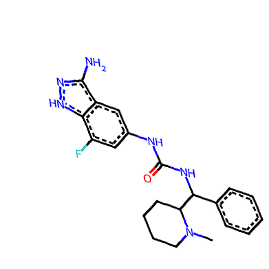 CN1CCCCC1C(NC(=O)Nc1cc(F)c2[nH]nc(N)c2c1)c1ccccc1